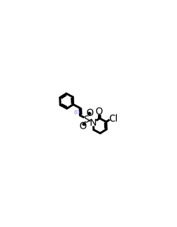 O=C1C(Cl)=CCCN1S(=O)(=O)/C=C/c1ccccc1